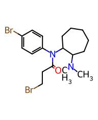 CN(C)C1CCCCCC1N(C(=O)CCBr)c1ccc(Br)cc1